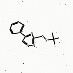 CC(C)(C)SSc1nncc(-c2ccccc2)n1